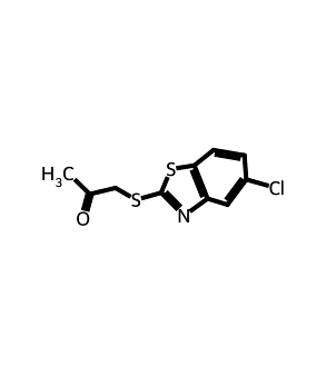 CC(=O)CSc1nc2cc(Cl)ccc2s1